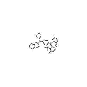 Cc1ccc2c(c1)B1c3ccc(N(c4ccccc4)c4ccc5ccccc5c4)cc3C(C)(C)c3c(C)ccc(c31)O2